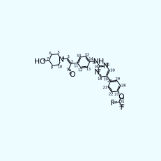 O=CC(=CN1CCC(O)CC1)c1ccc(Nc2ncc(-c3ccc(OC(F)F)cc3)cn2)cc1